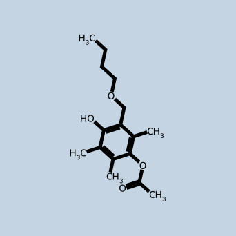 CCCCOCc1c(C)c(OC(C)=O)c(C)c(C)c1O